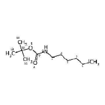 CCCCC[CH]NC(=O)OC(C)(C)C